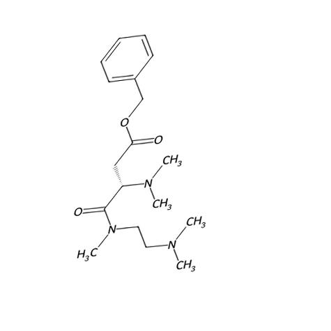 CN(C)CCN(C)C(=O)[C@H](CC(=O)OCc1ccccc1)N(C)C